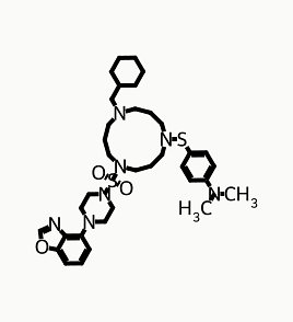 CN(C)c1ccc(SN2CCCN(CC3CCCCC3)CCCN(S(=O)(=O)N3CCN(c4cccc5ocnc45)CC3)CCC2)cc1